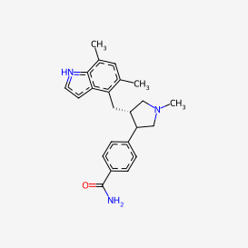 Cc1cc(C)c2[nH]ccc2c1C[C@@H]1CN(C)CC1c1ccc(C(N)=O)cc1